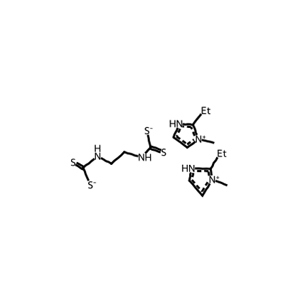 CCc1[nH]cc[n+]1C.CCc1[nH]cc[n+]1C.S=C([S-])NCCNC(=S)[S-]